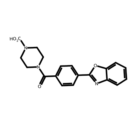 O=C(O)N1CCN(C(=O)c2ccc(-c3nc4ccccc4o3)cc2)CC1